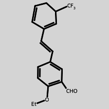 CCOc1ccc(/C=C/C2=CC(C(F)(F)F)CC=C2)cc1C=O